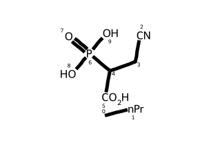 CCCC.N#CCC(C(=O)O)P(=O)(O)O